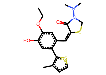 CCOc1cc(C=C2SCN(N(C)C)C2=O)c(-c2sccc2C)cc1O